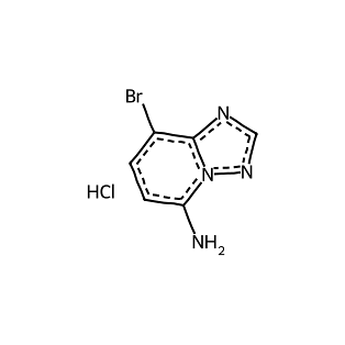 Cl.Nc1ccc(Br)c2ncnn12